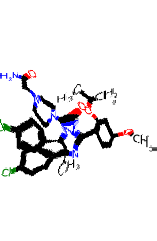 COc1ccc(C2=N[C@@](C)(c3ccc(Cl)cc3)[C@@H](c3ccc(Cl)cc3)N2C(=O)N2CCN(CC(N)=O)CC2)c(OC(C)C)c1